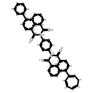 O=C1c2cccc3c(C4=CCC=CC=C4)ccc(c23)C(=O)N1c1ccc(N2C(=O)c3cccc4c(-c5ccccc5)ccc(c34)C2=O)cc1